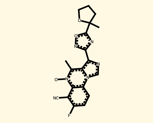 Cc1c2c(-c3noc(C4(C)CCCO4)n3)ncn2c2ccc(F)c(C#N)c2[n+]1[O-]